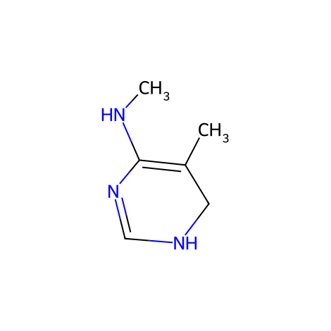 CNC1=C(C)CNC=N1